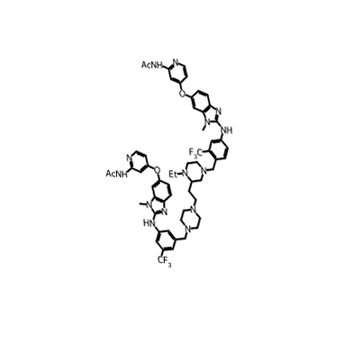 CCN1CCN(Cc2ccc(Nc3nc4ccc(Oc5ccnc(NC(C)=O)c5)cc4n3C)cc2C(F)(F)F)CC1CCN1CCN(Cc2cc(Nc3nc4ccc(Oc5ccnc(NC(C)=O)c5)cc4n3C)cc(C(F)(F)F)c2)CC1